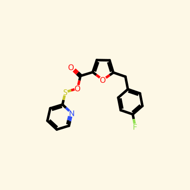 O=C(OSc1ccccn1)c1ccc(Cc2ccc(F)cc2)o1